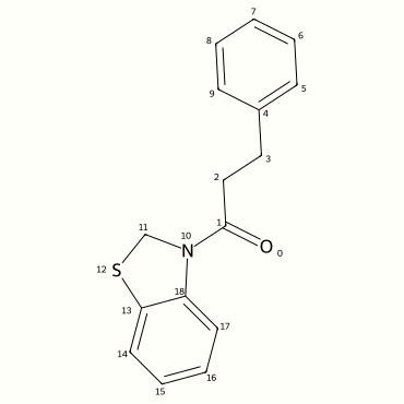 O=C(CCc1ccccc1)N1CSc2ccccc21